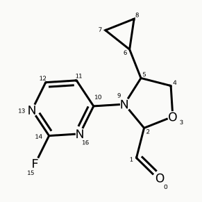 O=CC1OCC(C2CC2)N1c1ccnc(F)n1